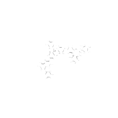 C[C@H]1c2ccc(-c3ccc(N(c4ccccc4)c4ccc(-c5ccc6c(-c7ccccc7)cccc6c5)cc4)cc3)cc2-c2ccccc2CC1c1ccccc1